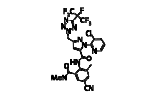 CNC(=O)c1cc(C#N)cc(C)c1NC(=O)c1cc(Cn2nnc(C(F)(C(F)(F)F)C(F)(F)F)n2)nn1-c1ncccc1Cl